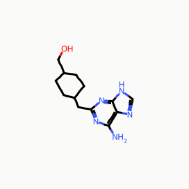 Nc1nc(CC2CCC(CO)CC2)nc2[nH]cnc12